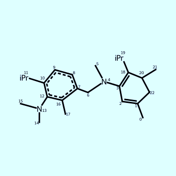 CC1=CC(N(C)Cc2ccc(C(C)C)c(N(C)C)c2C)=C(C(C)C)C(C)C1